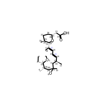 CC[C@H](OC)[C@@H](C)[C@H]1OC1(C)C[C@H](C)/C=C/C=C(\C)[C@H]1O[C@@H](CC(=O)O)CC[C@@H]1C